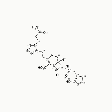 NC(=O)CCn1nnnc1SCC1=C(C(=O)O)N2C(=O)C(NC(=O)Cc3sccc3O)[C@H]2SC1